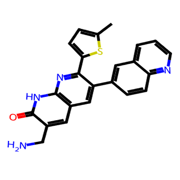 Cc1ccc(-c2nc3[nH]c(=O)c(CN)cc3cc2-c2ccc3ncccc3c2)s1